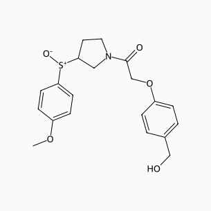 COc1ccc([S+]([O-])C2CCN(C(=O)COc3ccc(CO)cc3)C2)cc1